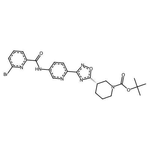 CC(C)(C)OC(=O)N1CCC[C@H](c2nc(-c3ccc(NC(=O)c4cccc(Br)n4)cn3)no2)C1